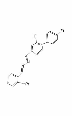 CCCc1ccccc1C=NN=Cc1ccc(-c2ccc(CC)cc2)c(F)c1